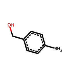 Bc1ccc(CO)cc1